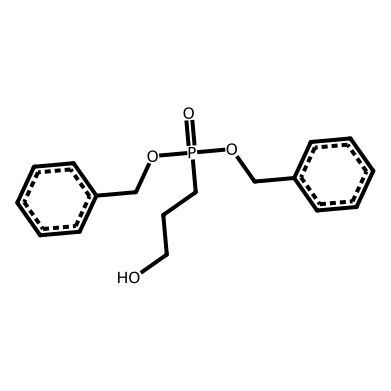 O=P(CCCO)(OCc1ccccc1)OCc1ccccc1